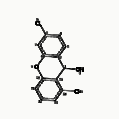 OC1c2ccc(Cl)cc2Oc2cccc(Cl)c21